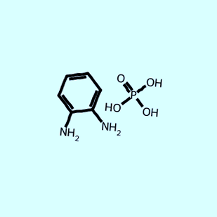 Nc1ccccc1N.O=P(O)(O)O